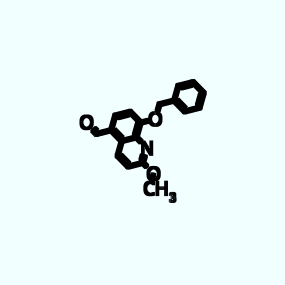 COc1ccc2c(C=O)ccc(OCc3ccccc3)c2n1